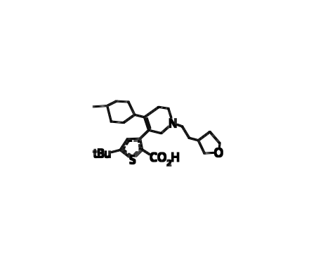 CC1CCC(C2=C(c3cc(C(C)(C)C)sc3C(=O)O)CN(CCC3CCOC3)CC2)CC1